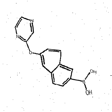 OB(O)c1ccc2cc(Oc3cnccn3)ccc2c1